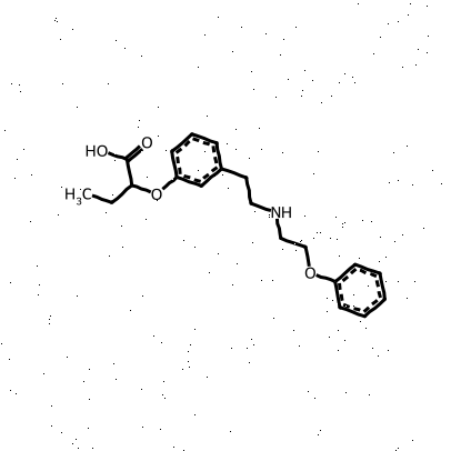 CCC(Oc1cccc(CCNCCOc2ccccc2)c1)C(=O)O